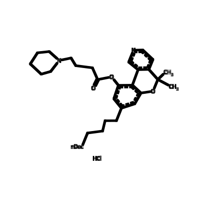 CCCCCCCCCCCCCCc1cc(OC(=O)CCCN2CCCCC2)c2c(c1)OC(C)(C)c1ccncc1-2.Cl